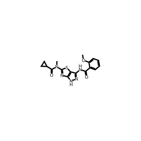 COc1ccccc1C(=O)Nc1n[nH]c2nc(N(C)C(=O)C3CC3)sc12